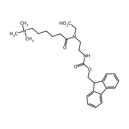 C[N+](C)(C)CCCCCC(=O)N(CCNC(=O)OCC1c2ccccc2-c2ccccc21)CC(=O)O